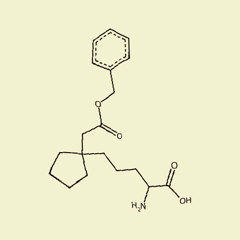 NC(CCCC1(CC(=O)OCc2ccccc2)CCCC1)C(=O)O